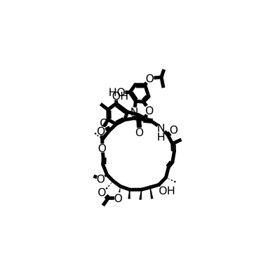 CO[C@H]1/C=C/O[C@@]2(C)Oc3c(C)c(O)c4c(=O)c(c5oc6cc(OC(C)C)cc(O)c6nc-5c4c3C2=O)NC(=O)/C(C)=C\C=C\[C@H](C)[C@H](O)[C@@H](C)[C@@H](C)[C@@H](C)[C@H](OC(C)=O)[C@@H]1C